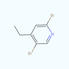 CCc1cc(Br)ncc1Br